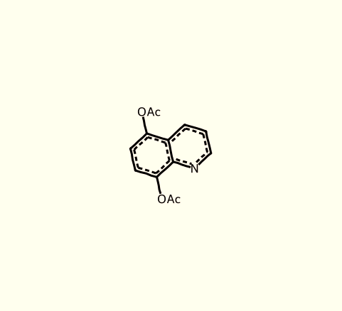 CC(=O)Oc1ccc(OC(C)=O)c2ncccc12